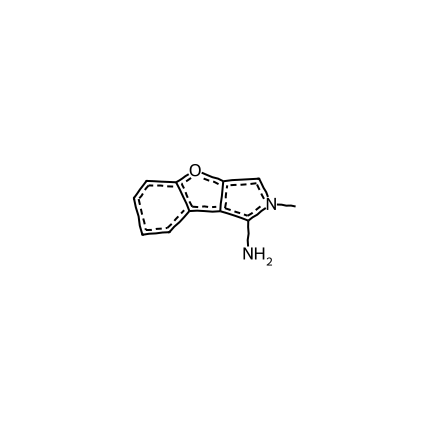 Cn1cc2oc3ccccc3c2c1N